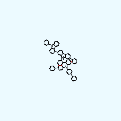 c1ccc(-c2ccc(N(c3ccc(-c4ccccc4)cc3)c3ccccc3-c3ccccc3-n3c4cc(-c5ccccc5)ccc4c4ccc(-c5cccc6c5c5ccccc5n6-c5ccccc5)cc43)cc2)cc1